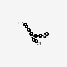 CC1C=CC2C[C@@H](C3CC=C(C4=CCC(N(CC5CCC6=C(CCC(C#N)=C6)C5)C5=CCC(C6CCC(C(N)OC7C=CCCC7)CC6)C=C5)CC4)CC3)CC2C1